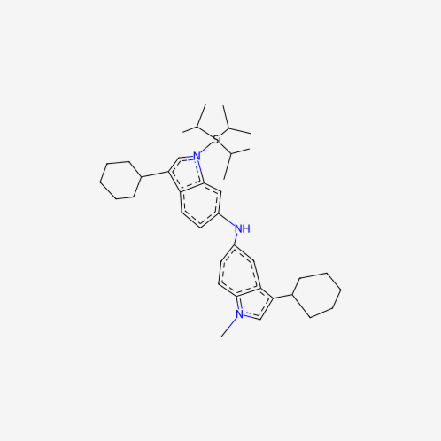 CC(C)[Si](C(C)C)(C(C)C)n1cc(C2CCCCC2)c2ccc(Nc3ccc4c(c3)c(C3CCCCC3)cn4C)cc21